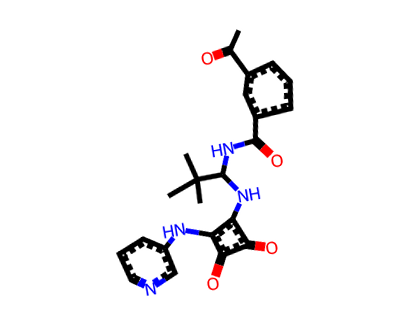 CC(=O)c1cccc(C(=O)NC(Nc2c(Nc3cccnc3)c(=O)c2=O)C(C)(C)C)c1